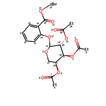 CCC(=O)O[C@H]1[C@@H](OC(=O)CC)COC(Oc2ccccc2C(=O)OC(C)(C)C)[C@@H]1OC(=O)CC